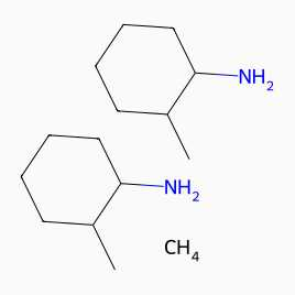 C.CC1CCCCC1N.CC1CCCCC1N